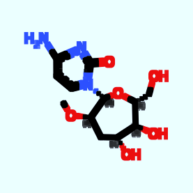 CO[C@@H]1C[C@@H](O)[C@H](O)[C@@H](CO)O[C@H]1n1ccc(N)nc1=O